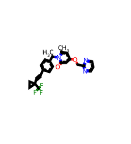 Cc1cc(OCc2ncccn2)cc(=O)n1[C@H](C)c1ccc(C#CC2(C(F)(F)F)CC2)cc1